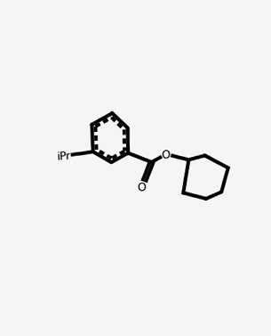 CC(C)c1cccc(C(=O)OC2CCCCC2)c1